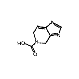 O=C(O)N1CC=C2N=CN=C2C1